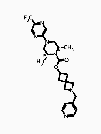 C[C@@H]1CN(c2cnc(C(F)(F)F)cn2)C[C@H](C)N1C(=O)OC1CC2(C1)CN(Cc1ccncc1)C2